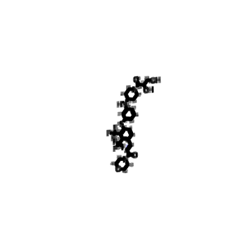 O=C(/C=C/c1ccc(Sc2cccc(NC3CCN(C(=O)C(O)CO)CC3)c2)c(C(F)(F)F)c1C(F)(F)F)N1CCOCC1